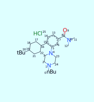 CCCCN1CCN(c2cc(C(=O)N(C)C)ccc2C2CCC(C(C)(C)C)CC2)CC1.Cl